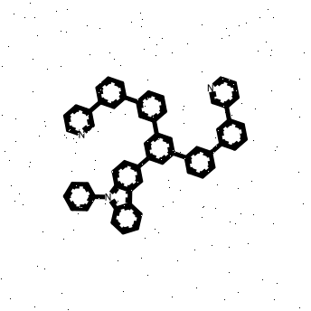 c1ccc(-n2c3ccccc3c3cc(-c4cc(-c5cccc(-c6cccc(-c7cccnc7)c6)c5)cc(-c5cccc(-c6cccc(-c7cccnc7)c6)c5)c4)ccc32)cc1